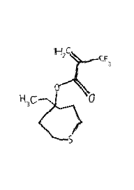 C=C(C(=O)OC1(C)CCSCC1)C(F)(F)F